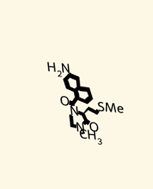 CSCC[C@H]1C(=O)N(C)CCN1C(=O)c1cccc2cc(N)ccc12